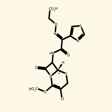 O=C(O)CON=C(C(=O)NC1C(=O)N2C(OC(=O)O)=C(Cl)CS[C@@H]12)c1cscn1